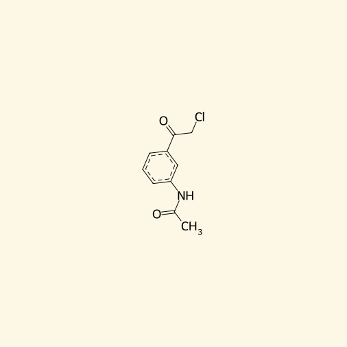 CC(=O)Nc1cccc(C(=O)CCl)c1